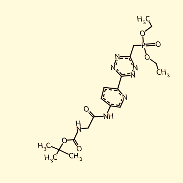 CCOP(=O)(Cc1nnc(-c2ccc(NC(=O)CNC(=O)OC(C)(C)C)cn2)nn1)OCC